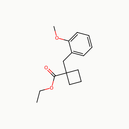 CCOC(=O)C1(Cc2ccccc2OC)CCC1